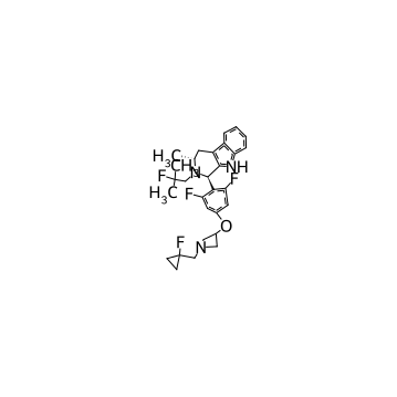 C[C@@H]1Cc2c([nH]c3ccccc23)[C@@H](c2c(F)cc(OC3CN(CC4(F)CC4)C3)cc2F)N1CC(C)(C)F